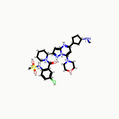 CN[C@@H]1CCC(c2cc(N3CCOCC3)n3nc([C@@H]4CCCCN4C(=O)c4cc(Cl)ccc4NS(C)(=O)=O)cc3n2)C1